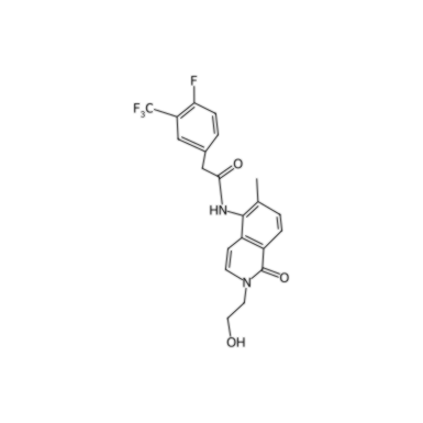 Cc1ccc2c(=O)n(CCO)ccc2c1NC(=O)Cc1ccc(F)c(C(F)(F)F)c1